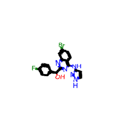 O[C@@H](c1ccc(F)cc1)c1nc(Nc2cc[nH]n2)c2ccc(Br)cc2n1